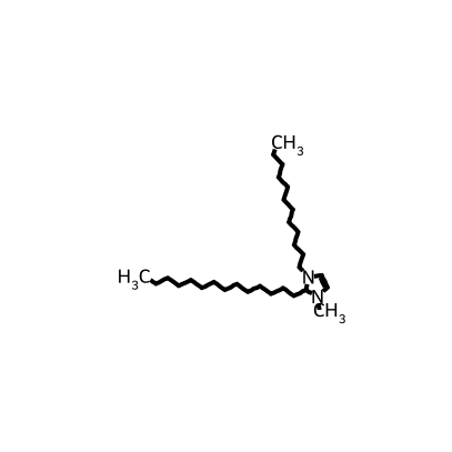 CCCCCCCCCCCCCCC1N(C)C=CN1CCCCCCCCCCCC